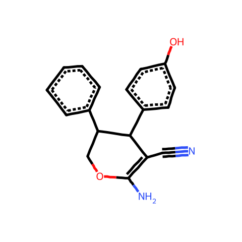 N#CC1=C(N)OCC(c2ccccc2)C1c1ccc(O)cc1